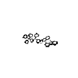 c1ccc(N(c2ccc3c(c2)C(c2ccccc2)(c2ccccc2)c2ccccc2-3)c2ccc3oc4c(-c5cccc6c5oc5ccccc56)c5ccccc5cc4c3c2)cc1